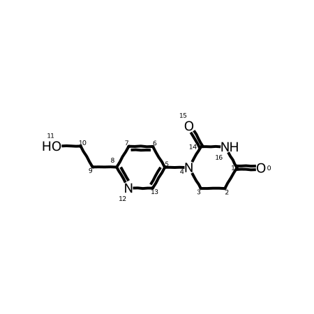 O=C1CCN(c2ccc(CCO)nc2)C(=O)N1